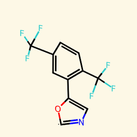 FC(F)(F)c1ccc(C(F)(F)F)c(-c2cn[c]o2)c1